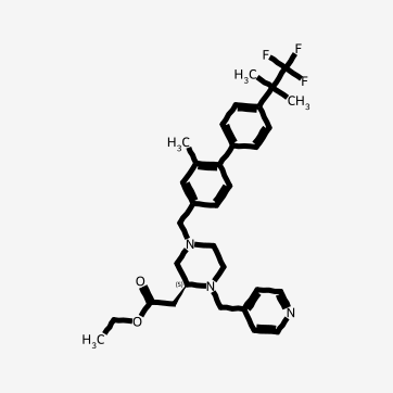 CCOC(=O)C[C@H]1CN(Cc2ccc(-c3ccc(C(C)(C)C(F)(F)F)cc3)c(C)c2)CCN1Cc1ccncc1